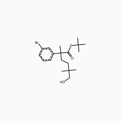 CC(C)(CO)CCC(C)(C(=O)OC(C)(C)C)c1cccc(Br)c1